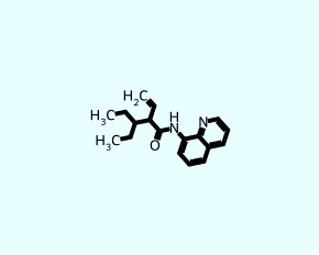 C=CC(C(=O)Nc1cccc2cccnc12)C(CC)CC